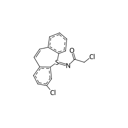 O=C(CCl)/N=S1\c2ccccc2C=Cc2ccc(Cl)cc21